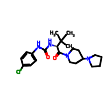 CC(C)(C)[C@@H](NC(=O)Nc1ccc(Cl)cc1)C(=O)N1CCC(N2CCCC2)CC1